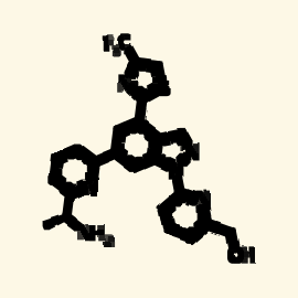 C[C@H](N)c1cccc(-c2cc(-c3nc(C(F)(F)F)cs3)c3cnn(-c4cccc(CO)n4)c3c2)n1